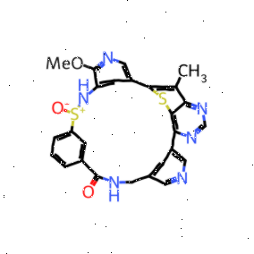 COc1ncc2cc1N[S+]([O-])c1cccc(c1)C(=O)NCc1cncc(c1)-c1ncnc3c(C)c-2sc13